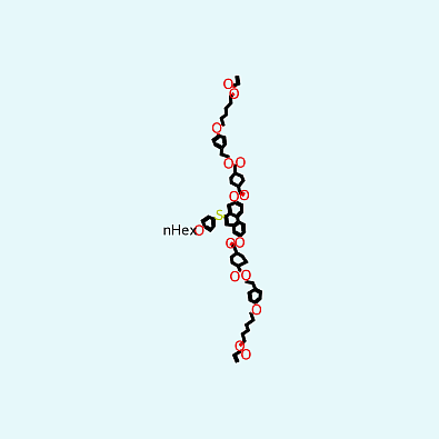 C=CC(=O)OCCCCCCOc1ccc(CCOC(=O)C2CCC(C(=O)Oc3ccc4c(c3)cc(Sc3ccc(OCCCCCC)cc3)c3cc(OC(=O)C5CCC(C(=O)OCCc6ccc(OCCCCCCOC(=O)C=C)cc6)CC5)ccc34)CC2)cc1